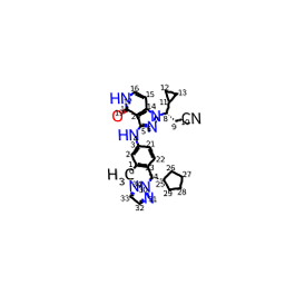 Cc1cc(Nc2nn([C@@H](CC#N)C3CC3)c3cc[nH]c(=O)c23)ccc1[C@H](C1CCCC1)n1nccn1